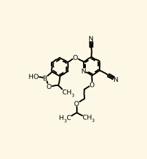 CC(C)OCCOc1nc(Oc2ccc3c(c2)C(C)OB3O)c(C#N)cc1C#N